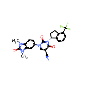 Cn1c(=O)n(C)c2cc(-n3cc(C#N)c(=O)n([C@@H]4CCc5c4cccc5C(F)(F)F)c3=O)ccc21